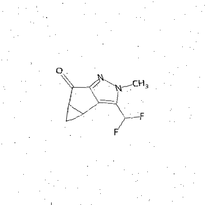 Cn1nc2c(c1C(F)F)C1CC1C2=O